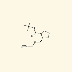 C#CCOC[C@@H]1CCCN1C(=O)OC(C)(C)C